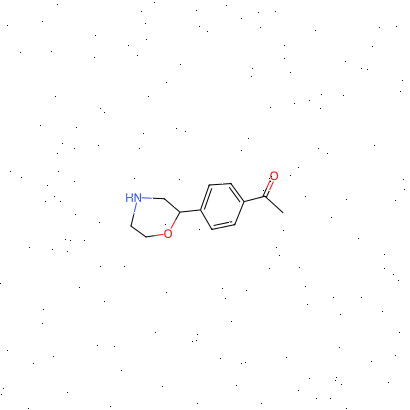 CC(=O)c1ccc(C2CNCCO2)cc1